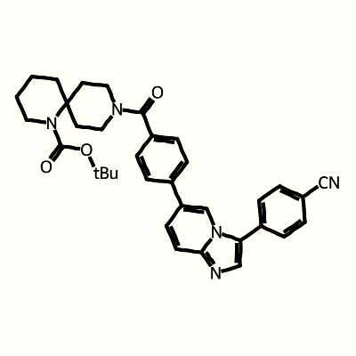 CC(C)(C)OC(=O)N1CCCCC12CCN(C(=O)c1ccc(-c3ccc4ncc(-c5ccc(C#N)cc5)n4c3)cc1)CC2